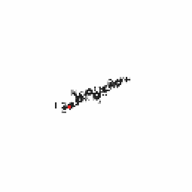 Cc1c(-c2nc3c(o2)CN(C(=O)CN2CCC(O)CC2)C3)cccc1-c1cccc(-c2nc3cc(CN4CC5CC4CC5C(=O)O)cc(C#N)c3o2)c1C